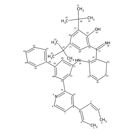 C/C=C\C(=C/C)c1ccnc(-c2cc(NC3=C(C(=N)c4cc(C(C)(C)C)cc(C(C)(C)C)c4O)CCC=C3)cc(-c3ccccc3)c2)c1